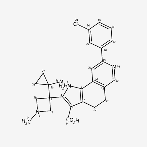 CN1CC(c2[nH]c3c(c2C(=O)O)CCc2cnc(-c4cccc(Cl)c4)cc2-3)(C2(N)CC2)C1